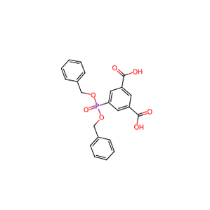 O=C(O)c1cc(C(=O)O)cc(P(=O)(OCc2ccccc2)OCc2ccccc2)c1